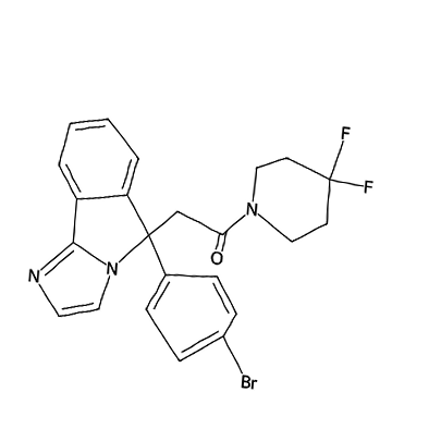 O=C(CC1(c2ccc(Br)cc2)c2ccccc2-c2nccn21)N1CCC(F)(F)CC1